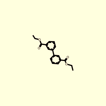 CCOC(=O)c1cccc(-c2cccc(C(=O)OCC)c2)c1